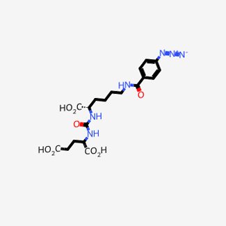 [N-]=[N+]=Nc1ccc(C(=O)NCCCC[C@H](NC(=O)NC(CCC(=O)O)C(=O)O)C(=O)O)cc1